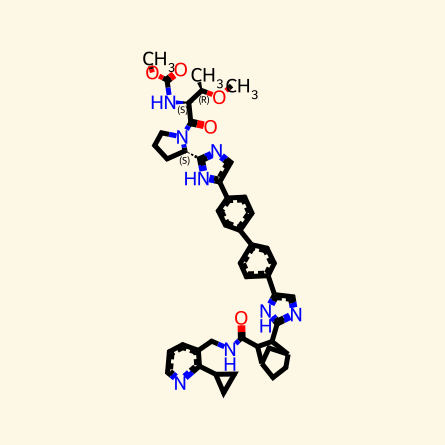 COC(=O)N[C@H](C(=O)N1CCC[C@H]1c1ncc(-c2ccc(-c3ccc(-c4cnc(C5C6CCC(C6)C5C(=O)NCc5cccnc5C5CC5)[nH]4)cc3)cc2)[nH]1)[C@@H](C)OC